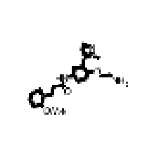 COc1ccccc1CCC(=O)Nc1ccc(OCCN)c(-c2ccnn2C)c1